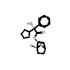 O=C(O[C@H]1CC2CC[C@H]1N2)[C@](O)(c1ccccc1)C1CCCC1